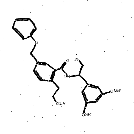 COc1cc(OC)cc(C(CC(C)C)NC(=O)c2cc(COc3ccccc3)ccc2CCC(=O)O)c1